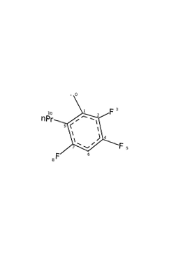 [CH2]c1c(F)c(F)cc(F)c1CCC